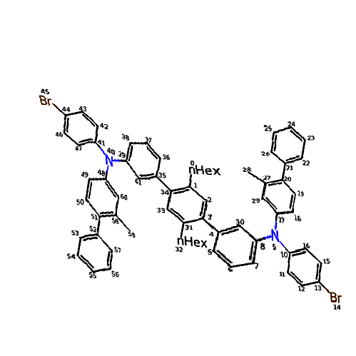 CCCCCCc1cc(-c2cccc(N(c3ccc(Br)cc3)c3ccc(-c4ccccc4)c(C)c3)c2)c(CCCCCC)cc1-c1cccc(N(c2ccc(Br)cc2)c2ccc(-c3ccccc3)c(C)c2)c1